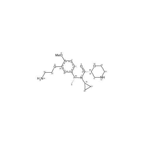 COc1ccc([C@@H](C)N(C(=O)[C@H]2CNCCO2)C2CC2)cc1OCCN